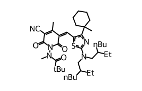 CCCCC(CC)CN(CC(CC)CCCC)c1nc(C2(C)CCCCC2)c(/C=C2\C(=O)N(N(C)C(=O)C(C)(C)C)C(=O)C(C#N)=C2C)s1